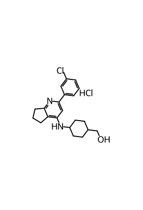 Cl.OCC1CCC(Nc2cc(-c3cccc(Cl)c3)nc3c2CCC3)CC1